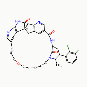 CC1C(c2cccc(F)c2F)CC2NC(=O)c3cnc4c(c3)C[C@@]3(C4)C(=O)Nc4ncc(cc43)/C=C/COCCCCCN1C2=O